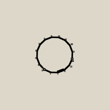 C1=CCOCCCCCCCCCCOC1